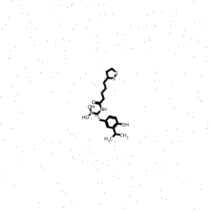 CC(C)c1cc(C[C@@H](NC(=O)CCCCC2CCSS2)B(O)O)ccc1O